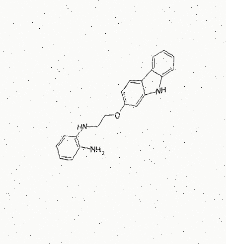 Nc1ccc[c]c1NCCOc1ccc2c(c1)[nH]c1ccccc12